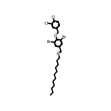 CCCCCCCCCCCC/N=C/c1cc(Br)c(OCc2ccc(Cl)c(Cl)c2)c(Br)c1